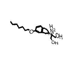 CCCCCCCOc1ccc2c(c1)C[C@H](C(N)(CO)CO)C2